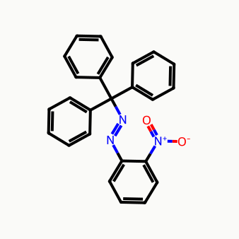 O=[N+]([O-])c1ccccc1N=NC(c1ccccc1)(c1ccccc1)c1ccccc1